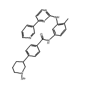 CCCN1CCCC(c2ccc(C(=O)Nc3ccc(C)c(Nc4nccc(-c5cccnc5)n4)c3)cc2)C1